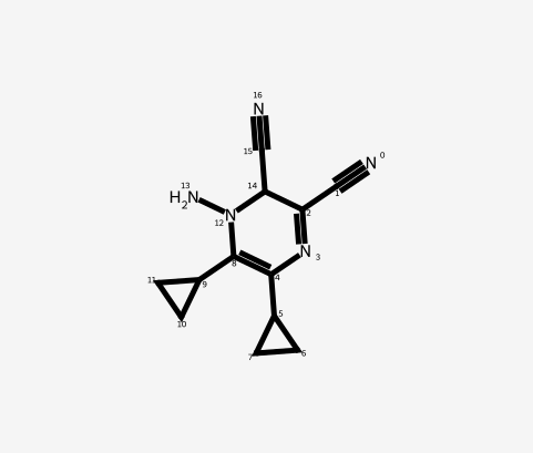 N#CC1=NC(C2CC2)=C(C2CC2)N(N)C1C#N